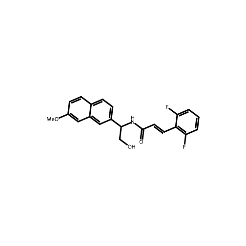 COc1ccc2ccc(C(CO)NC(=O)C=Cc3c(F)cccc3F)cc2c1